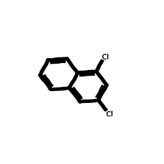 Clc1cc(Cl)c2ccc[c]c2c1